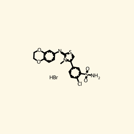 Br.Cn1c(-c2ccc(Cl)c(S(N)(=O)=O)c2)csc1=Nc1ccc2c(c1)OCCO2